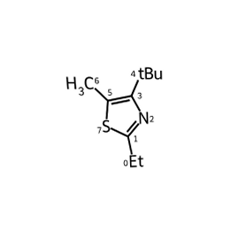 CCc1nc(C(C)(C)C)c(C)s1